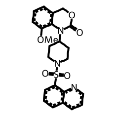 COc1cccc2c1N(C1CCN(S(=O)(=O)c3cccc4cccnc34)CC1)C(=O)OC2